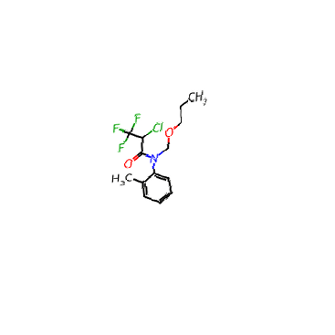 CCCOCN(C(=O)C(Cl)C(F)(F)F)c1ccccc1C